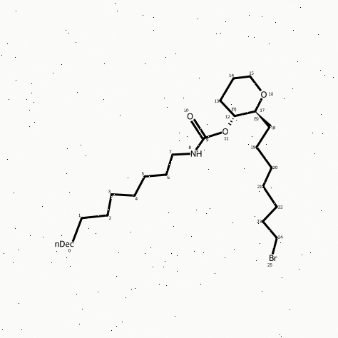 CCCCCCCCCCCCCCCCCNC(=O)O[C@@H]1CCCO[C@H]1C[CH]CCCCCBr